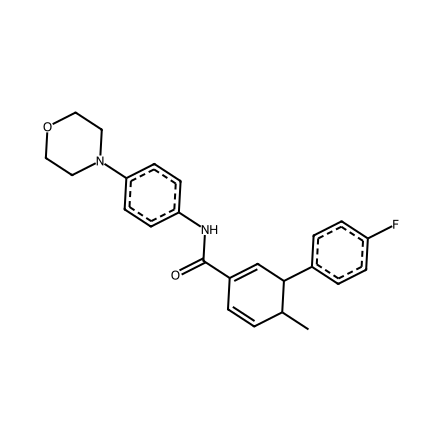 CC1C=CC(C(=O)Nc2ccc(N3CCOCC3)cc2)=CC1c1ccc(F)cc1